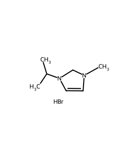 Br.CC(C)N1C=CN(C)C1